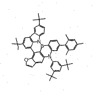 Cc1cc(C)c(-c2ccc3c(c2)N(c2cc(C(C)(C)C)cc(C(C)(C)C)c2)c2cc4ccoc4c4c2B3n2c3ccc(C(C)(C)C)cc3c3cc(C(C)(C)C)cc-4c32)c(C)c1